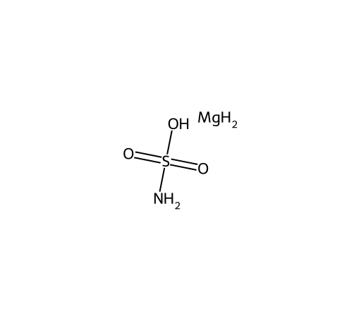 NS(=O)(=O)O.[MgH2]